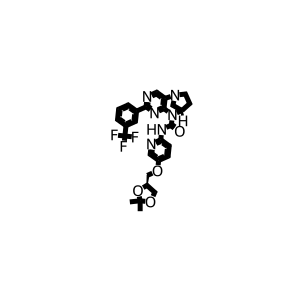 CC1(C)OC[C@H](COc2ccc(NC(=O)N3c4nc(-c5cccc(C(F)(F)F)c5)ncc4N4CC[C@H]3C4)nc2)O1